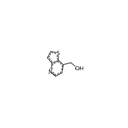 OCc1ccnc2ccsc12